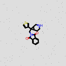 O=C1c2ccccc2C(=O)N1CC1(c2ccsc2)C2CCNCC21